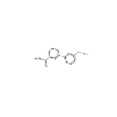 COC(=O)c1cccc(-c2cccc(CN)n2)n1